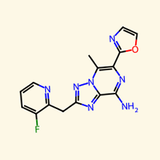 Cc1c(-c2ncco2)nc(N)c2nc(Cc3ncccc3F)nn12